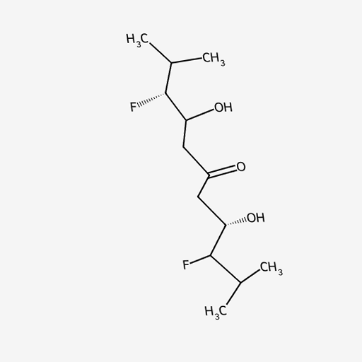 CC(C)C(F)[C@@H](O)CC(=O)CC(O)[C@H](F)C(C)C